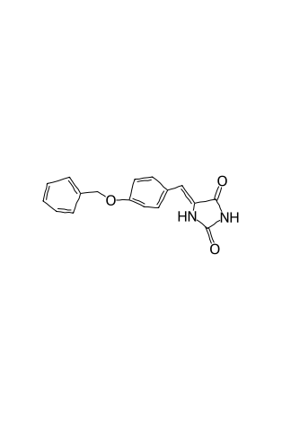 O=C1NC(=O)C(=Cc2ccc(OCc3ccccc3)cc2)N1